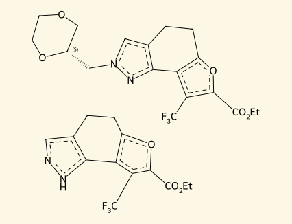 CCOC(=O)c1oc2c(c1C(F)(F)F)-c1[nH]ncc1CC2.CCOC(=O)c1oc2c(c1C(F)(F)F)-c1nn(C[C@H]3COCCO3)cc1CC2